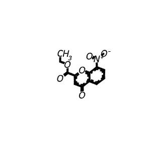 CCOC(=O)c1cc(=O)c2cccc([N+](=O)[O-])c2o1